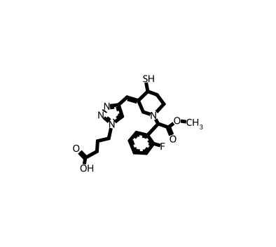 COC(=O)C(c1ccccc1F)N1CCC(S)C(=Cc2cn(CCCC(=O)O)nn2)C1